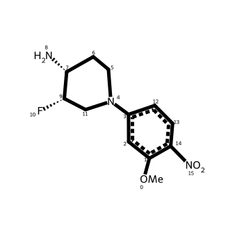 COc1cc(N2CC[C@@H](N)[C@@H](F)C2)ccc1[N+](=O)[O-]